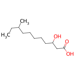 CCC(C)CCCCCC(O)CC(=O)O